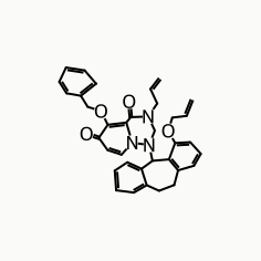 C=CCOc1cccc2c1C(N1CN(CC=C)C(=O)c3c(OCc4ccccc4)c(=O)ccn31)c1ccccc1CC2